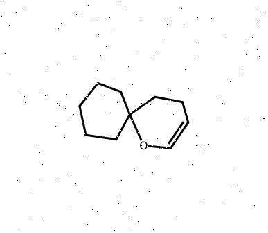 C1=COC2(CC1)CCCCC2